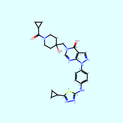 O=C(C1CC1)N1CCC(O)(Cn2cnc3c(cnn3-c3ccc(Nc4nnc(C5CC5)s4)cc3)c2=O)CC1